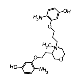 C[N+]1(CCCOc2cc(O)ccc2N)CCOCC1CCOc1cc(O)ccc1N